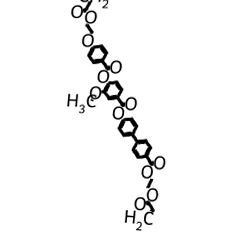 C=CC(=O)OCCOC(=O)c1ccc(-c2ccc(OC(=O)c3ccc(OC(=O)c4ccc(OCCOC(=O)C=C)cc4)c(OC)c3)cc2)cc1